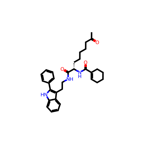 CC(=O)CCCCC[C@H](NC(=O)C1=CCCCC1)C(=O)NCCc1c(-c2ccccc2)[nH]c2ccccc12